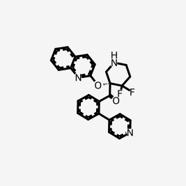 O=C(c1ccccc1-c1ccncc1)[C@@]1(Oc2ccc3ccccc3n2)CNCCC1(F)F